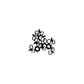 CC(=O)Oc1ccc(-c2oc3cc(OC(C)=O)cc(OC(C)=O)c3c(=O)c2OC2OC(C)C(OC(C)=O)C(OC(C)=O)C2OC(C)=O)cc1